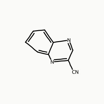 N#Cc1cnc2ccccc2n1